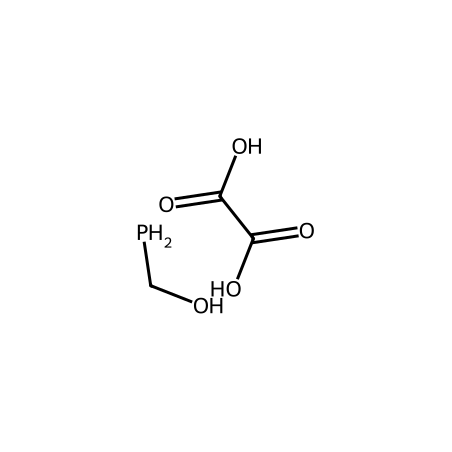 O=C(O)C(=O)O.OCP